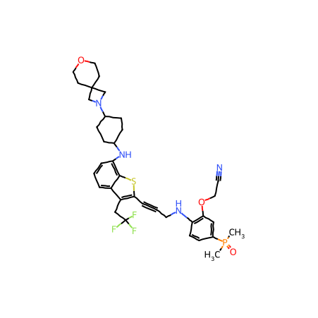 CP(C)(=O)c1ccc(NCC#Cc2sc3c(NC4CCC(N5CC6(CCOCC6)C5)CC4)cccc3c2CC(F)(F)F)c(OCC#N)c1